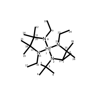 CC[N](C(C)(C)C)[Hf]([N](CC)C(C)(C)C)([N](CC)C(C)(C)C)[N](CC)C(C)(C)C